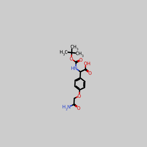 CC(C)(C)OC(=O)NC(C(=O)O)c1ccc(OCC(N)=O)cc1